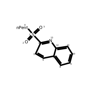 CCCCCS(=O)(=O)c1ccc2ccccc2n1